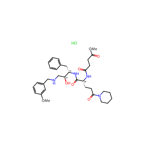 COC(=O)CCC(=O)N[C@H](CCC(=O)N1CCCCC1)C(=O)N[C@@H](Cc1ccccc1)[C@@H](O)CNCc1cccc(OC)c1.Cl